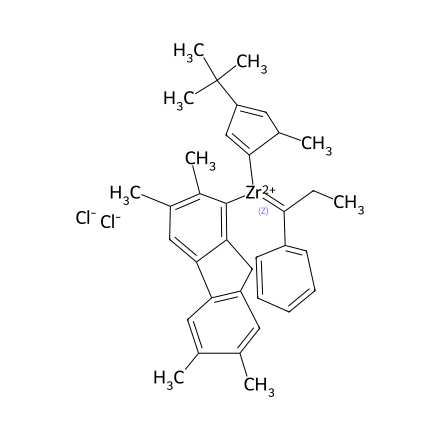 CC/[C](c1ccccc1)=[Zr+2](\[C]1=CC(C(C)(C)C)=CC1C)[c]1c(C)c(C)cc2c1Cc1cc(C)c(C)cc1-2.[Cl-].[Cl-]